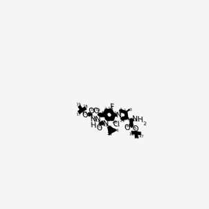 C[C@@H]1CN(c2c(F)cc3c(=O)n(NC(=O)OC(C)(C)C)c(=O)n(C4CC4)c3c2Cl)C[C@H]1C(N)C(=O)OC(C)(C)C